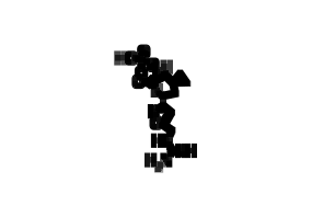 N=C(N)NCc1cc([C@@H]2CC3(CC3)[C@@H]3CN2C(=O)N3OS(=O)(=O)O)no1